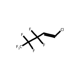 FC(F)(F)C(F)(F)C(F)(F)/C=C/Cl